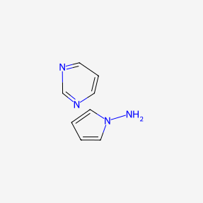 Nn1cccc1.c1cncnc1